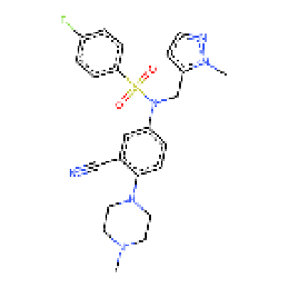 CN1CCN(c2ccc(N(Cc3ccnn3C)S(=O)(=O)c3ccc(F)cc3)cc2C#N)CC1